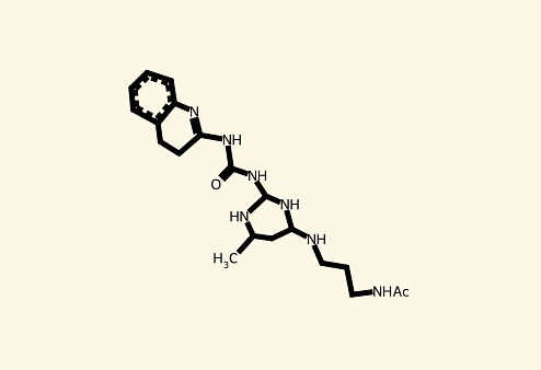 CC(=O)NCCCNC1CC(C)NC(NC(=O)NC2=Nc3ccccc3CC2)N1